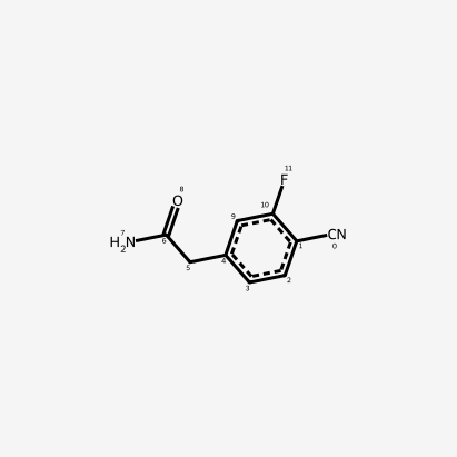 N#Cc1ccc([CH]C(N)=O)cc1F